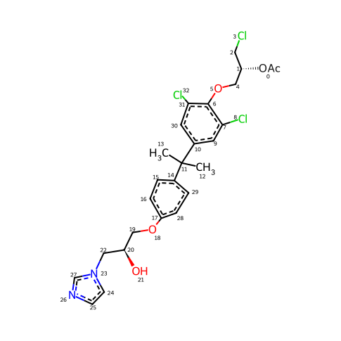 CC(=O)O[C@@H](CCl)COc1c(Cl)cc(C(C)(C)c2ccc(OC[C@@H](O)Cn3ccnc3)cc2)cc1Cl